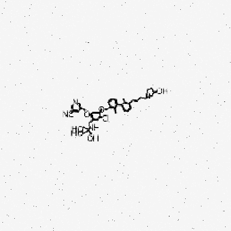 Cc1c(CCCCN2CCC(O)C2)cccc1-c1cccc(COc2cc(OCc3cncc(C#N)c3)c(CNC(CO)(CO)CO)cc2Cl)c1C